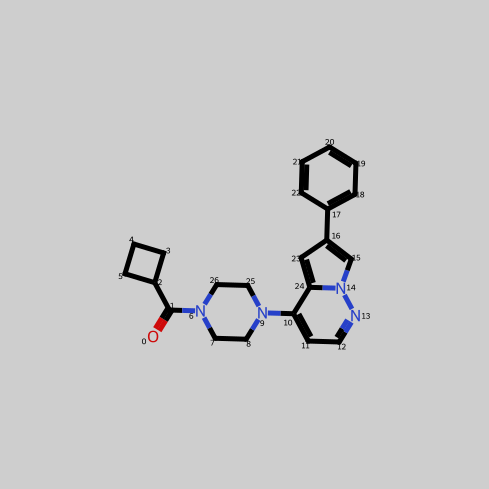 O=C(C1CCC1)N1CCN(c2ccnn3cc(-c4ccccc4)cc23)CC1